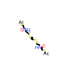 CC(=O)SCC(=O)NCCS/C=C/SCCNC(=O)CSC(C)=O